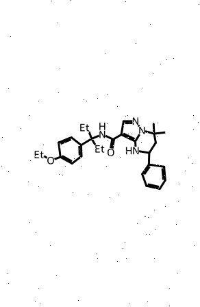 CCOc1ccc(C(CC)(CC)NC(=O)c2cnn3c2NC(c2ccccc2)CC3(C)C)cc1